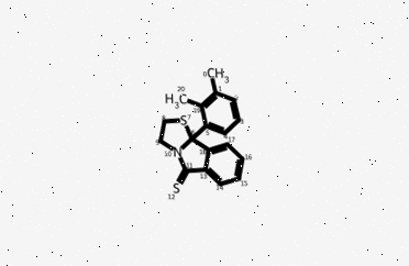 Cc1cccc(C23SCCN2C(=S)c2ccccc23)c1C